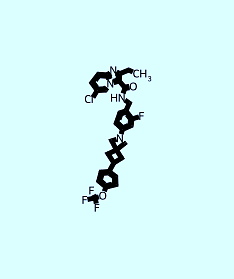 CCc1nc2ccc(Cl)cn2c1C(=O)NCc1ccc(N2CC3(CC(c4ccc(OC(F)(F)F)cc4)C3)C2)cc1F